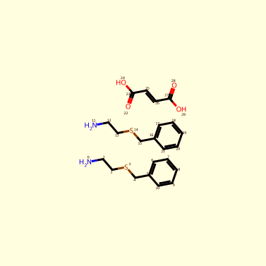 NCCSCc1ccccc1.NCCSCc1ccccc1.O=C(O)/C=C/C(=O)O